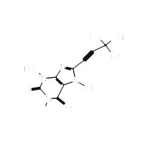 Cn1c(=O)c2c(nc(C#CC(C)(C)O)n2C)n(C)c1=O